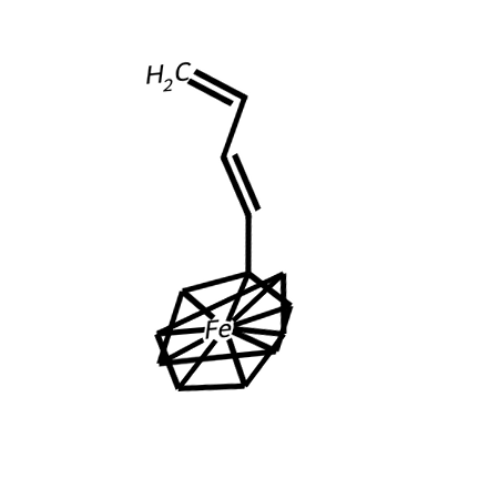 C=CC=C[C]12[CH]3[CH]4[CH]5[CH]1[Fe]45321678[CH]2[CH]1[CH]6[CH]7[CH]28